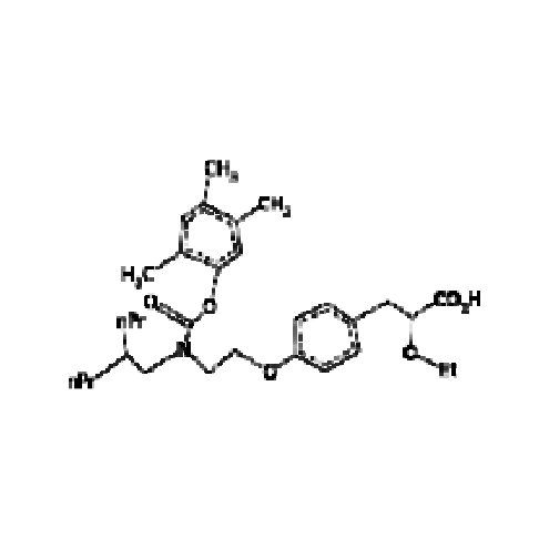 CCCC(CCC)CN(CCOc1ccc(CC(OCC)C(=O)O)cc1)C(=O)Oc1cc(C)c(C)cc1C